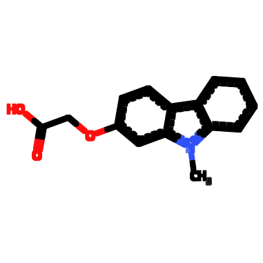 Cn1c2ccccc2c2ccc(OCC(=O)O)cc21